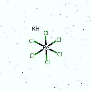 [Cl][Re]([Cl])([Cl])([Cl])([Cl])[Cl].[KH]